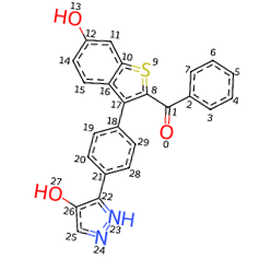 O=C(c1ccccc1)c1sc2cc(O)ccc2c1-c1ccc(-c2[nH]ncc2O)cc1